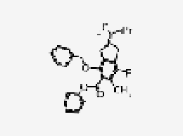 Cc1c(F)c2c(c(OCc3ccccc3)c1C(=O)Oc1ccccc1)CN([C@@H](C)C(C)C)C2